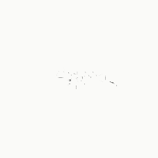 Cc1cc(C)c(NC(=O)c2sc(NC(=O)Nc3ccc(C#N)cc3)nc2C)c(C)c1